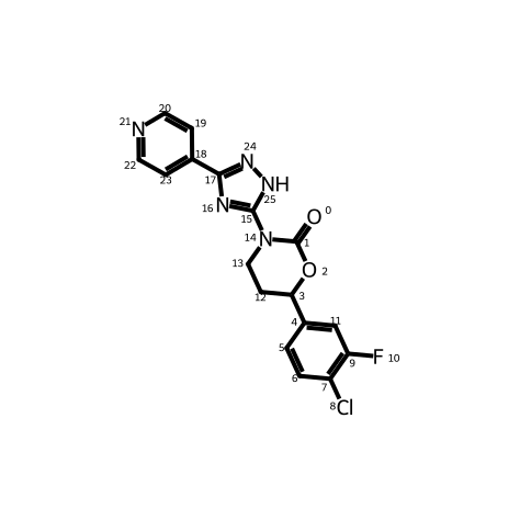 O=C1OC(c2ccc(Cl)c(F)c2)CCN1c1nc(-c2ccncc2)n[nH]1